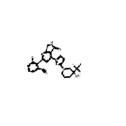 N#Cc1cccc(F)c1-c1cc(-n2ccc(N3CCC[C@@](O)(C(F)(F)F)C3)n2)c2c(n1)CNC2=O